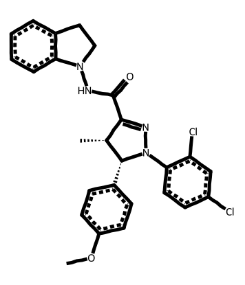 COc1ccc([C@@H]2[C@H](C)C(C(=O)NN3CCc4ccccc43)=NN2c2ccc(Cl)cc2Cl)cc1